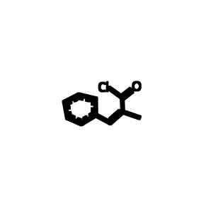 C/C(=C/c1ccccc1)C(=O)Cl